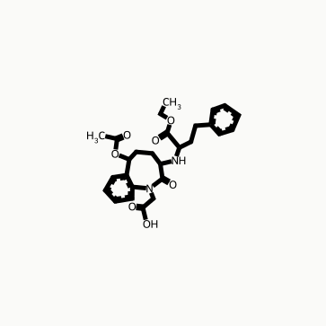 CCOC(=O)C(CCc1ccccc1)NC1CCC(OC(C)=O)c2ccccc2N(CC(=O)O)C1=O